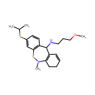 COCCCNC1C2=C(CCC=C2)N(C)Sc2cc(SC(C)C)ccc21